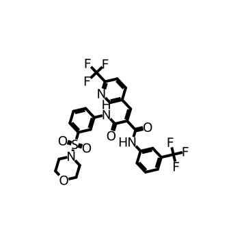 O=C(Nc1cccc(C(F)(F)F)c1)C(=Cc1ccc(C(F)(F)F)nc1)C(=O)Nc1cccc(S(=O)(=O)N2CCOCC2)c1